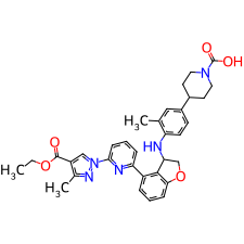 CCOC(=O)c1cn(-c2cccc(-c3cccc4c3C(Nc3ccc(C5CCN(C(=O)O)CC5)cc3C)CO4)n2)nc1C